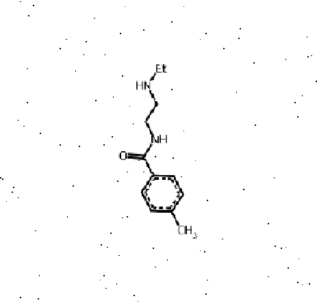 CCNCCNC(=O)c1ccc(C)cc1